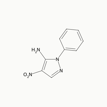 Nc1c([N+](=O)[O-])cnn1-c1ccccc1